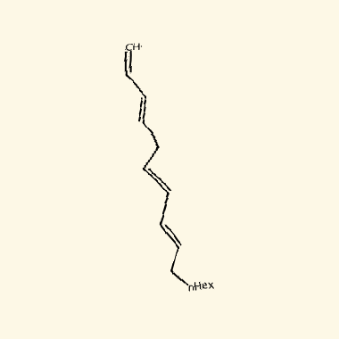 [CH]=CC=CCC=CC=CCCCCCCC